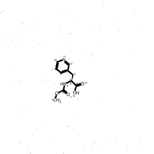 COC(=O)N[C@@H](Cc1cccnc1)C(=O)O